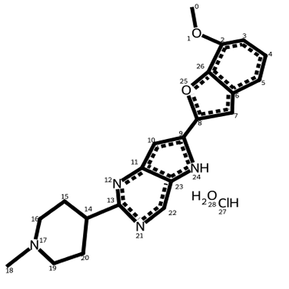 COc1cccc2cc(-c3cc4nc(C5CCN(C)CC5)ncc4[nH]3)oc12.Cl.O